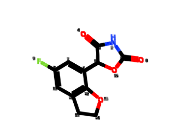 O=C1NC(=O)C(c2cc(F)cc3c2OCC3)O1